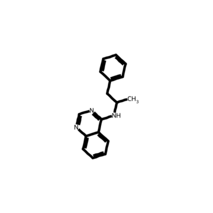 CC(Cc1ccccc1)Nc1ncnc2ccccc12